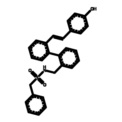 O=S(=O)(Cc1ccccc1)NCc1ccccc1-c1ccccc1/C=C/c1ccc(O)cc1